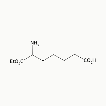 CCOC(=O)C(N)CCCCC(=O)O